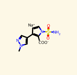 Cn1cc(-c2ccn(S(N)(=O)=O)c2C(=O)[O-])cn1.[Na+]